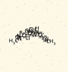 Cc1nc(-c2cc(Cl)c(-c3cc4cnc(Nc5ccc(C6CCN(C)CC6)cc5)nc4n(C)c3=O)cc2F)no1